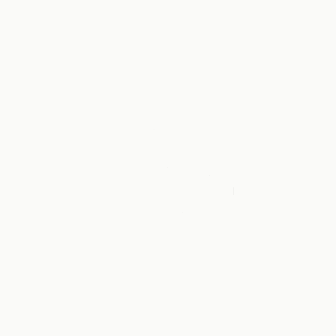 C=CCc1c([SiH3])ccc(Cl)c1Cl